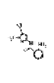 Cn1nc(NC(=O)c2ccccc2N)cc1C1CC1